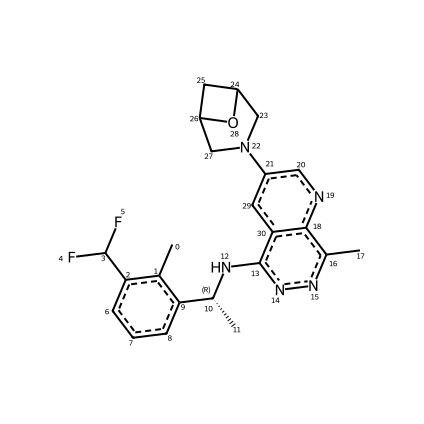 Cc1c(C(F)F)cccc1[C@@H](C)Nc1nnc(C)c2ncc(N3CC4CC(C3)O4)cc12